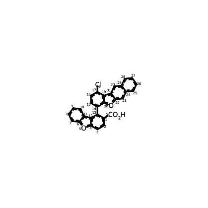 O=C(O)c1ccc2oc3ccccc3c2c1-c1ccc(Cl)c2c1oc1cc3ccccc3cc12